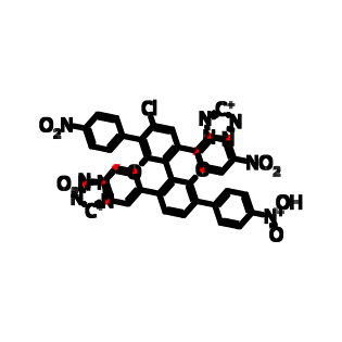 O=[N+]([O-])c1ccc(-c2ccc(-c3ccc([N+](=O)O)cc3)c(OCN3N=[C+]N=N3)c2-c2c(-c3ccc([N+](=O)[O-])cc3)cc(Cl)c(-c3ccc([N+](=O)[O-])cc3)c2OCN2N=[C+]N=N2)cc1